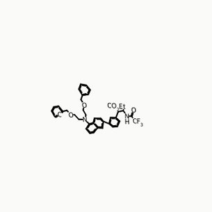 CCOC(=O)[C@H](Cc1cccc(-c2ccc3c(N(CCOCc4ccccc4)CCOCc4ccccc4)cccc3c2)c1)NC(=O)C(F)(F)F